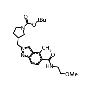 COCCNC(=O)c1ccc2nn(C[C@H]3CCN(C(=O)OC(C)(C)C)C3)cc2c1C